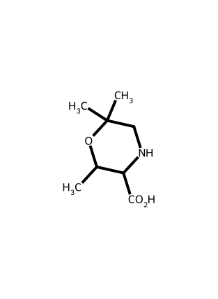 CC1OC(C)(C)CNC1C(=O)O